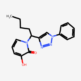 CCCCC(c1cn(-c2ccccc2)nn1)n1cccc(O)c1=O